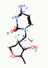 CC1OCC(F)([C@@H](C)n2ccc(N)nc2=O)C1O